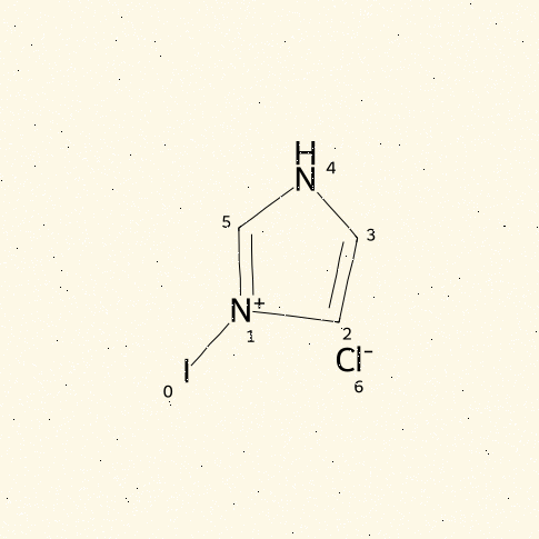 I[n+]1cc[nH]c1.[Cl-]